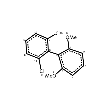 COc1c[c]cc(OC)c1-c1c(Cl)cccc1Cl